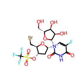 O=C1NC(=O)[N+]([C@@H]2C[C@H](OS(=O)(=O)C(F)(F)F)[C@@H](CBr)O2)([C@@H]2O[C@H](CO)[C@@H](O)[C@H]2O)C=C1F